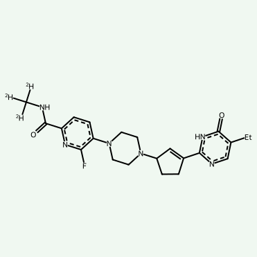 [2H]C([2H])([2H])NC(=O)c1ccc(N2CCN(C3C=C(c4ncc(CC)c(=O)[nH]4)CC3)CC2)c(F)n1